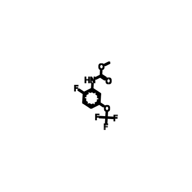 COC(=O)Nc1cc(OC(F)(F)F)ccc1F